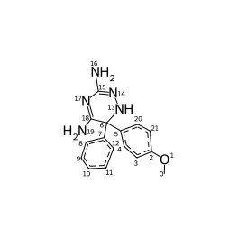 COc1ccc(C2(c3ccccc3)NN=C(N)N=C2N)cc1